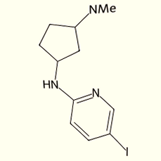 CNC1CCC(Nc2ccc(I)cn2)C1